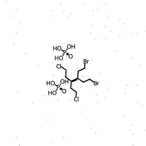 ClCCC(CCCl)=C(CCBr)CCBr.O=P(O)(O)O.O=P(O)(O)O